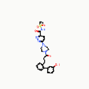 CC(C)(C)S(=O)(=O)NC(=O)c1ccc(N2CCN(C(=O)CCc3ccccc3-c3cccc(O)c3)CC2)nn1